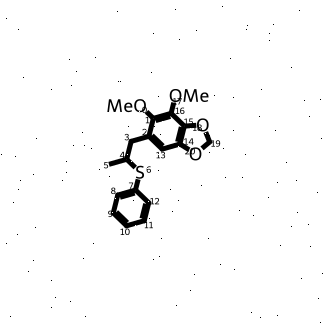 COc1c(CC(C)Sc2ccccc2)cc2c(c1OC)OCO2